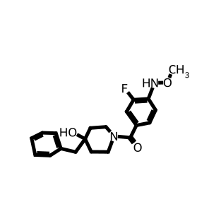 CONc1ccc(C(=O)N2CCC(O)(Cc3ccccc3)CC2)cc1F